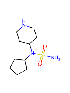 NS(=O)(=O)N(C1CCCC1)C1CCNCC1